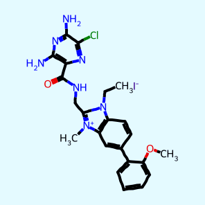 CCn1c(CNC(=O)c2nc(Cl)c(N)nc2N)[n+](C)c2cc(-c3ccccc3OC)ccc21.[I-]